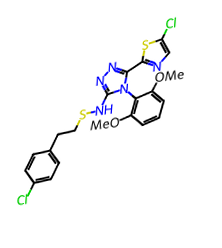 COc1cccc(OC)c1-n1c(NSCCc2ccc(Cl)cc2)nnc1-c1ncc(Cl)s1